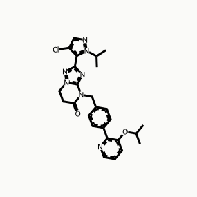 CC(C)Oc1cccnc1-c1ccc(CN2C(=O)CCn3nc(-c4c(Cl)cnn4C(C)C)nc32)cc1